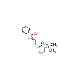 CC(C)(C)c1cccc(CCNC(=O)c2ccccc2)c1